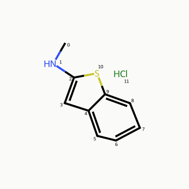 CNc1cc2ccccc2s1.Cl